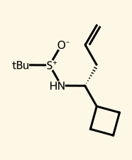 C=CC[C@@H](N[S+]([O-])C(C)(C)C)C1CCC1